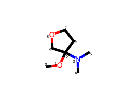 COC1(N(C)C)CCOC1